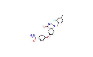 Cc1ccc(Cn2cnc(=O)c3cc(Oc4ccc(C(N)=O)cc4)ccc32)c(F)c1